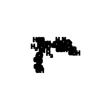 Nc1ccc2cc(S(=O)(=O)O)cc(O)c2c1/N=N/c1ccc(/N=N/c2cc(S(=O)(=O)O)c(N)c(/N=N/c3ccc(S(=O)(=O)COS(=O)(=O)O)cc3)c2N)cc1S(=O)(=O)O